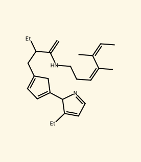 C=C(NCC/C=C(C)\C(C)=C/C)C(CC)CC1=CC=C(C2N=CC=C2CC)C1